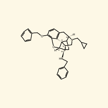 F[C@@H]1CN(CC2CC2)[C@@H]2Cc3ccc(OCc4ccccc4)c4c3[C@]13[C]2CC[C@@H](NCc1ccccc1)[C@@H]3O4